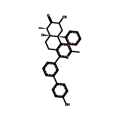 Cc1nc(-c2cccc(-c3ccc(O)cc3)c2)c2c(n1)[C@]1(c3ccccc3)CC(C#N)C(=O)[C@@H](C)[C@@H]1CC2